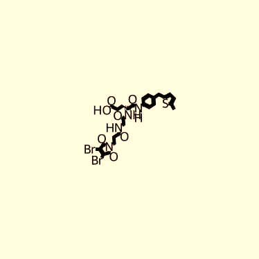 Cc1ccc(Cc2ccc(NC(=O)[C@H](CCC(=O)O)NC(=O)CNC(=O)CCN3C(=O)C(Br)=C(Br)C3=O)cc2)s1